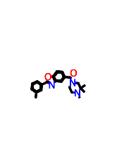 Cc1cccc(-c2nc3cc(C(=O)N4CCN(C)C(C)(C)C4)ccc3o2)c1